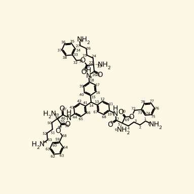 NCCCC[C@@](N)(C(=O)Nc1ccc(C(c2ccc(NC(=O)[C@](N)(CCCCN)C(=O)OCc3ccccc3)cc2)c2ccc(NC(=O)[C@](N)(CCCCN)C(=O)OCc3ccccc3)cc2)cc1)C(=O)OCc1ccccc1